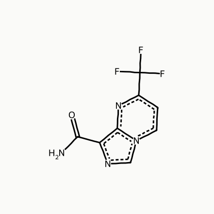 NC(=O)c1ncn2ccc(C(F)(F)F)nc12